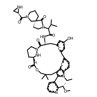 CCn1c(-c2cccnc2[C@H](C)OC)c2c3cc(ccc31)-c1cc(O)cc(c1)C[C@H](NC(=O)C(C(C)C)N1CC[C@]3(CCCN(C(=O)[C@H]4CN4)C3)C1=O)C(=O)N1CCC[C@H](N1)C(=O)OCC(C)(C)C2